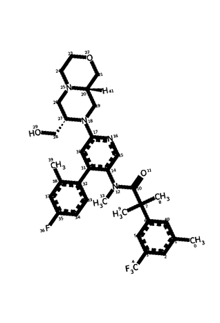 Cc1cc(C(F)(F)F)cc(C(C)(C)C(=O)N(C)c2cnc(N3C[C@H]4COCCN4C[C@H]3CO)cc2-c2ccc(F)cc2C)c1